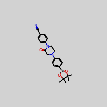 CC1(C)OB(c2ccc(N3CCN(c4ccc(C#N)cc4)C(=O)C3)cc2)OC1(C)C